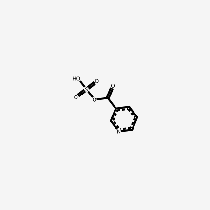 O=C(OS(=O)(=O)O)c1cccnc1